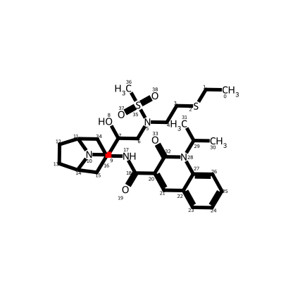 CCSCCN(CC(O)CN1C2CCC1CC(NC(=O)c1cc3ccccc3n(C(C)C)c1=O)C2)S(C)(=O)=O